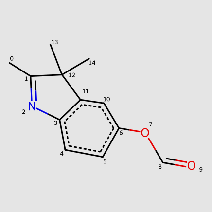 CC1=Nc2ccc(OC=O)cc2C1(C)C